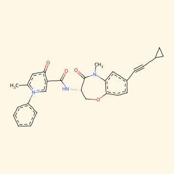 Cc1cc(=O)c(C(=O)N[C@H]2COc3ccc(C#CC4CC4)cc3N(C)C2=O)cn1-c1ccccc1